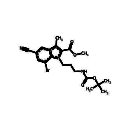 COC(=O)c1c(C)c2cc(C#N)cc(Br)c2n1CCCNC(=O)OC(C)(C)C